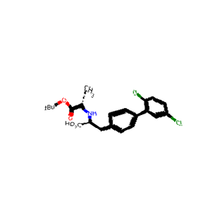 C[C@H](N[C@@H](Cc1ccc(-c2cc(Cl)ccc2Cl)cc1)C(=O)O)C(=O)OC(C)(C)C